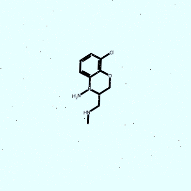 CNCC1COc2c(Cl)cccc2N1N